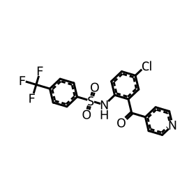 O=C(c1ccncc1)c1cc(Cl)ccc1NS(=O)(=O)c1ccc(C(F)(F)F)cc1